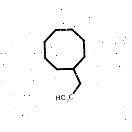 O=C(O)CC1CCCCCCC1